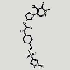 CCn1cc(S(=O)(=O)/N=C/C2CCC(NC(=O)O[C@@H]3CCN(c4cnn(C)c(=O)c4Cl)C3)CC2)cn1